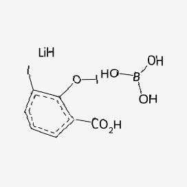 O=C(O)c1cccc(I)c1OI.OB(O)O.[LiH]